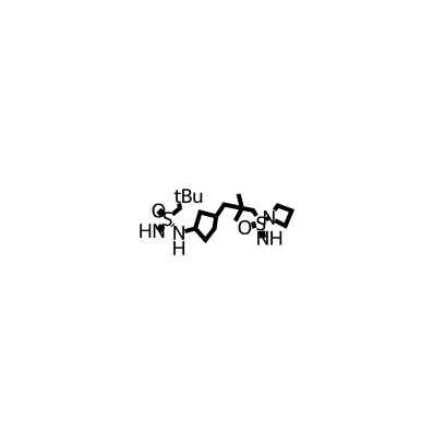 CC(C)(C)CS(=N)(=O)NC1CCC(CC(C)(C)CS(=N)(=O)N2CCC2)C1